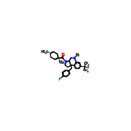 CCN1CC2N(C(=O)[C@]3(C)CC[C@@H](C(=O)O)CC3)CCC2(Cc2ccc(F)cc2)c2ccc(C(C)(F)C(F)(F)F)cc21